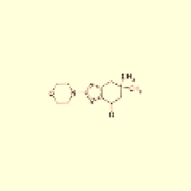 CC1(C)CC(=O)c2sc(N3CCOCC3)cc2C1